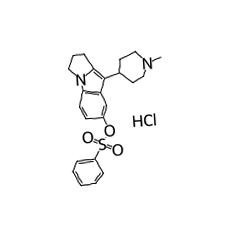 CN1CCC(c2c3n(c4ccc(OS(=O)(=O)c5ccccc5)cc24)CCC3)CC1.Cl